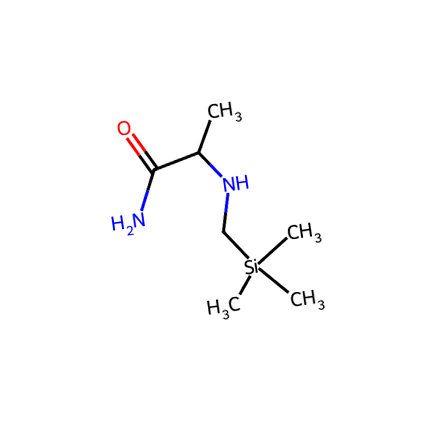 CC(NC[Si](C)(C)C)C(N)=O